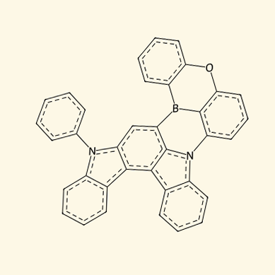 c1ccc(-n2c3ccccc3c3c4c5ccccc5n5c4c(cc32)B2c3ccccc3Oc3cccc-5c32)cc1